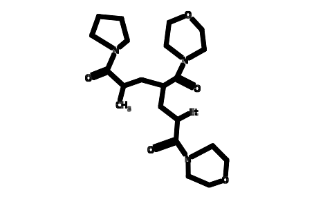 CCC(CC(CC(C)C(=O)N1CCCC1)C(=O)N1CCOCC1)C(=O)N1CCOCC1